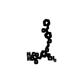 COc1cc(C[C@H](OC)C(=O)O)ccc1OCCCOc1ccc(C(=O)Cc2ccccc2)cc1